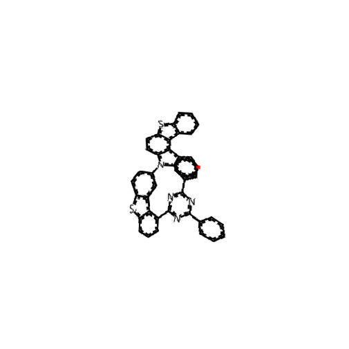 c1ccc(-c2nc(-c3ccccc3)nc(-c3cccc4sc5ccc(-n6c7ccccc7c7c8c(ccc76)sc6ccccc68)cc5c34)n2)cc1